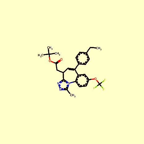 CCc1ccc(C2=CC(CC(=O)OC(C)(C)C)c3nnc(C)n3-c3ccc(OC(F)(F)F)cc32)cc1